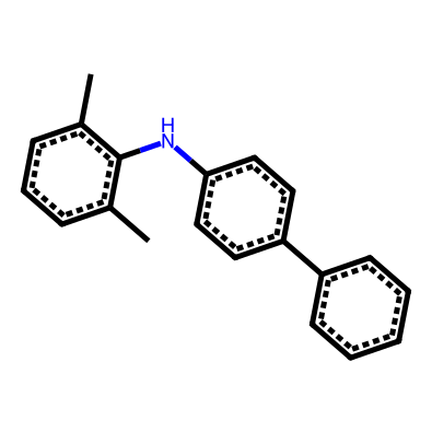 Cc1cccc(C)c1Nc1ccc(-c2ccccc2)cc1